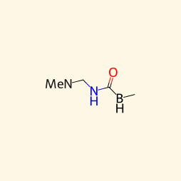 CBC(=O)NCNC